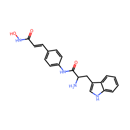 NC(Cc1c[nH]c2ccccc12)C(=O)Nc1ccc(/C=C/C(=O)NO)cc1